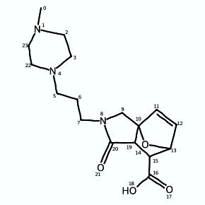 CN1CCN(CCCN2CC34C=CC(O3)C(C(=O)O)C4C2=O)CC1